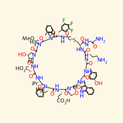 COCC[C@H]1C(=O)N2C[C@@H](O)C[C@@H]2C(=O)N[C@@H](CC(=O)O)C(=O)N[C@@H](C(C)C)C(=O)N(C)[C@@H](Cc2ccccc2)C(=O)N[C@@H](CCC(=O)O)C(=O)N2CCOC[C@@H]2C(=O)N[C@@H](Cc2c[nH]c3ccccc23)C(=O)N[C@@H](Cc2ccc(O)cc2)C(=O)N[C@@H](CCCN)C(=O)N[C@H](C(=O)NCC(N)=O)CSCC(=O)N[C@@H](Cc2cc(F)c(F)c(F)c2)C(=O)N(C)[C@@H](Cc2ccccc2)C(=O)N1C